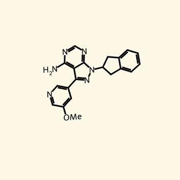 COc1cncc(-c2nn(C3Cc4ccccc4C3)c3ncnc(N)c23)c1